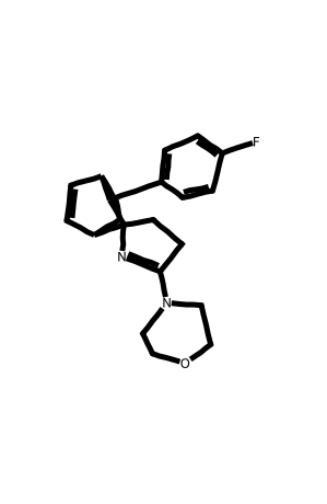 Fc1ccc(C2C3C=CC(CC3)C23CCC(N2CCOCC2)=N3)cc1